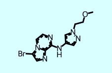 COCCn1cc(Nc2nccn3c(Br)cnc23)cn1